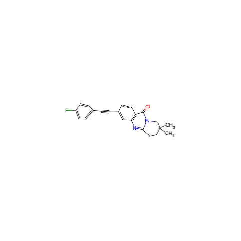 CC1(C)CCc2nc3cc(C#Cc4ccc(F)cc4)ccc3c(=O)n2C1